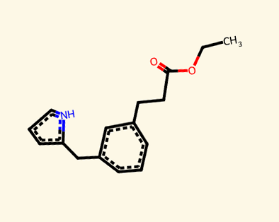 CCOC(=O)CCc1cccc(Cc2ccc[nH]2)c1